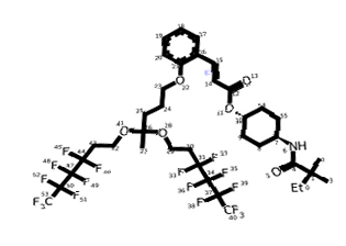 CCC(C)(C)C(=O)N[C@H]1CC[C@H](OC(=O)/C=C/c2ccccc2OCCCC(C)(OCCC(F)(F)C(F)(F)C(F)(F)C(F)(F)F)OCCC(F)(F)C(F)(F)C(F)(F)C(F)(F)F)CC1